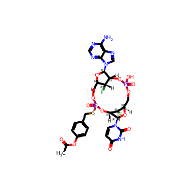 CC(=O)Oc1ccc(CSP2(=O)OC[C@H]3O[C@@H](n4cnc5c(N)ncnc54)[C@H](OP(=O)(O)OC[C@H]4O[C@@H](n5ccc(=O)[nH]c5=O)[C@H](O2)[C@@H]4F)[C@@H]3F)cc1